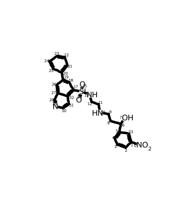 O=[N+]([O-])c1cccc(C(O)CCNCCNS(=O)(=O)c2cc(-c3ccccc3)cc3cnccc23)c1